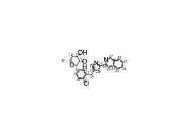 C[C@@H]1C[C@H](O)[C@@H](O)[C@H](c2ccc(Cl)c(Cc3nnc(-c4cc5ccccc5cn4)s3)c2)O1